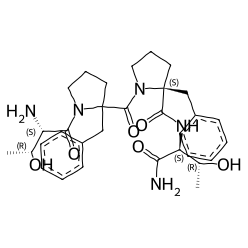 C[C@@H](O)[C@H](N)C(=O)N1CCCC1(Cc1ccccc1)C(=O)N1CCC[C@]1(Cc1ccccc1)C(=O)N[C@H](C(N)=O)[C@@H](C)O